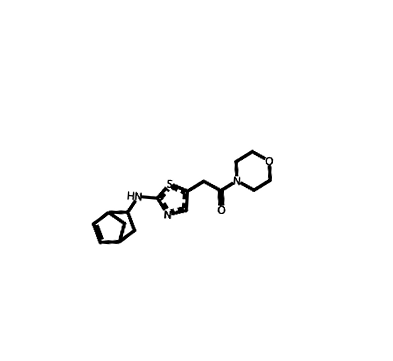 O=C(Cc1cnc(NC2CC3C=CC2C3)s1)N1CCOCC1